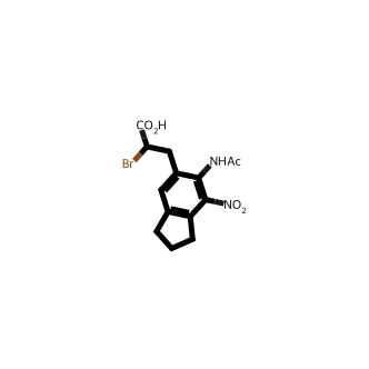 CC(=O)Nc1c(CC(Br)C(=O)O)cc2c(c1[N+](=O)[O-])CCC2